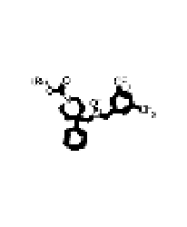 CC(C)(C)OC(=O)N1CCC(C[S+]([O-])Cc2cc(C(F)(F)F)cc(C(F)(F)F)c2)(c2ccccc2)CC1